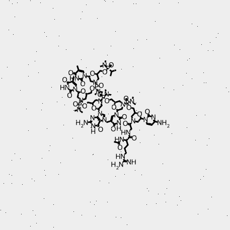 CC(=O)NC(CCCNC(=N)N)C(=O)NCC(=O)N1CC(COP(=O)(N(C)C)N2CC(COP(=O)(N(C)C)N3CC(COP(=O)(N(C)C)N4CC(COP(=O)(N(C)C)N5CC(COP(=O)(C(C)C)N(C)C)OC(n6cc(C)c(=O)[nH]c6=O)C5)OC(n5cc(C)c(=O)[nH]c5=O)C4)OC(n4cnc5c(=O)[nH]c(N)nc54)C3)OC(n3cc(C)c(=O)[nH]c3=O)C2)OC(n2ccc(N)nc2=O)C1